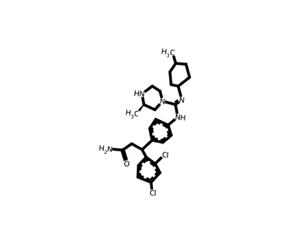 CC1CCC(/N=C(/Nc2ccc(C(CC(N)=O)c3ccc(Cl)cc3Cl)cc2)N2CCN[C@H](C)C2)CC1